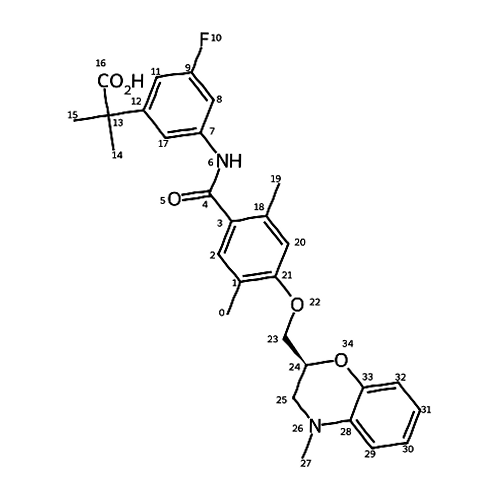 Cc1cc(C(=O)Nc2cc(F)cc(C(C)(C)C(=O)O)c2)c(C)cc1OC[C@@H]1CN(C)c2ccccc2O1